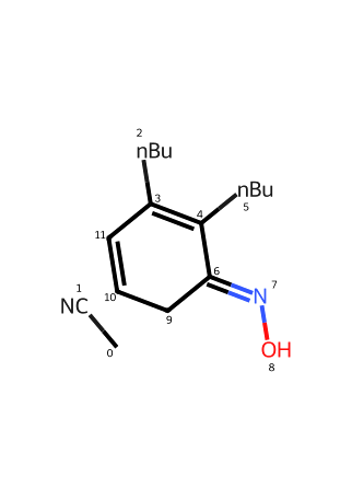 CC#N.CCCCC1=C(CCCC)C(=NO)CC=C1